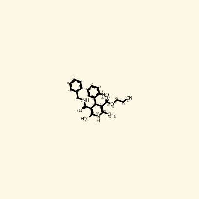 CC1=C(C(=O)NCc2ccccc2)C(c2ccccc2[N+](=O)[O-])C(C(=O)OCCC#N)=C(C)N1